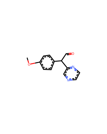 COc1ccc(C(C=O)c2cnccn2)cc1